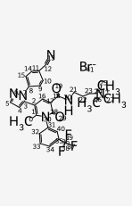 Cc1c(-c2ccnn2-c2ccc(C#N)cc2)cc(C(=O)NCCC[N+](C)(C)C)c(=O)n1-c1cccc(C(F)(F)F)c1.[Br-]